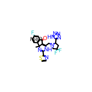 COC(=O)C1=C(CN2CC(F)(F)CC2c2nnn[nH]2)NC(c2nccs2)=NC1(C)c1ccc(F)cc1